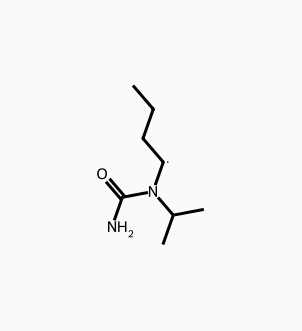 CCC[CH]N(C(N)=O)C(C)C